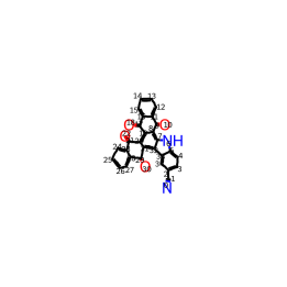 N#Cc1ccc2[nH]c3c4c(=O)c5ccccc5c(=O)c4c4c(=O)c5ccccc5c(=O)c4c3c2c1